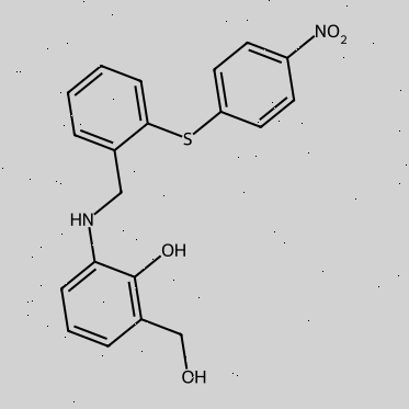 O=[N+]([O-])c1ccc(Sc2ccccc2CNc2cccc(CO)c2O)cc1